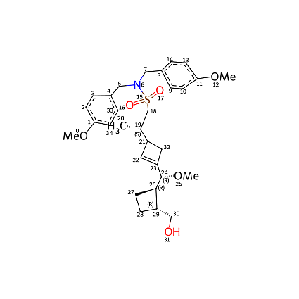 COc1ccc(CN(Cc2ccc(OC)cc2)S(=O)(=O)C[C@@H](C)C2C=C([C@H](OC)[C@@H]3CC[C@H]3CO)C2)cc1